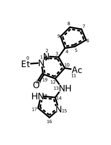 CCn1nc(-c2ccccc2)c(C(C)=O)c(Nc2ncc[nH]2)c1=O